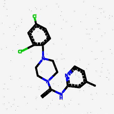 C=C(Nc1cc(C)ccn1)N1CCN(c2ccc(Cl)cc2Cl)CC1